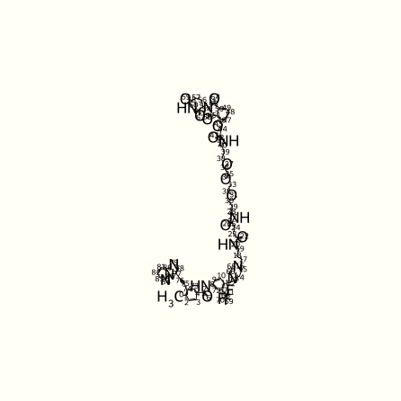 Cc1ccc(C(=O)Nc2ccc(CN3CCN(CCCNC(=O)CCC(=O)NCCCOCCOCCOCCCNC(=O)COc4cccc5c4C(=O)N(C4CCC(=O)NC4=O)C5=O)CC3)c(C(F)(F)F)c2)cc1C#Cc1cnc2cccnn12